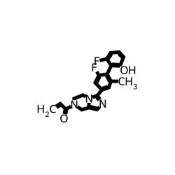 C=CC(=O)N1CCn2c(cnc2-c2cc(C)c(-c3c(O)cccc3F)c(F)c2)C1